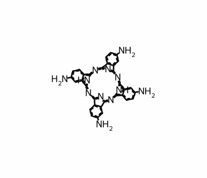 Nc1ccc2c(c1)-c1nc-2nc2[nH]c(nc3nc(nc4[nH]c(n1)c1ccc(N)cc41)-c1cc(N)ccc1-3)c1ccc(N)cc21